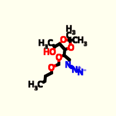 CCCCOCOC(CN=[N+]=[N-])C1OC(C)(C)OC1C(C)O